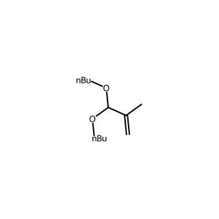 C=C(C)C(OCCCC)OCCCC